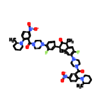 CC(C(=O)C(C)c1ccc(N2CCN(C(=O)c3cc([N+](=O)[O-])ccc3N3CCCCC3C)CC2)c(F)c1)c1ccc(N2CCN(C(=O)c3cc([N+](=O)[O-])ccc3N3CCCCC3C)CC2)c(F)c1